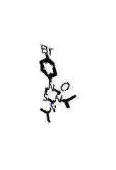 CC(C)/N=C1\SCN(c2ccc(Br)cc2)C(=O)N1C(C)C